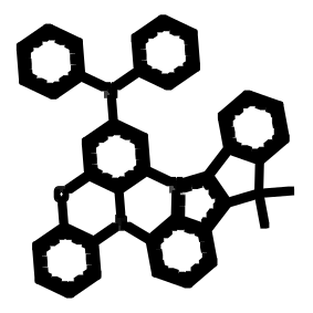 CC1(C)c2ccccc2-c2c1c1cccc3c1n2-c1cc(N(c2ccccc2)c2ccccc2)cc2c1B3c1ccccc1O2